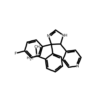 CN(C)c1ccccc1C1(c2ccc(F)cc2)N=CNC1c1ccncc1